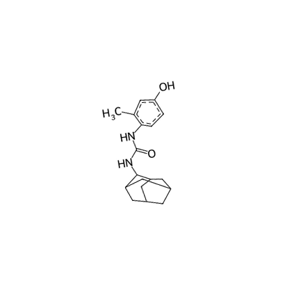 Cc1cc(O)ccc1NC(=O)NC1C2CC3CC(C2)CC1C3